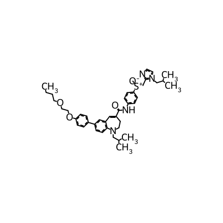 CCCCOCCOc1ccc(-c2ccc3c(c2)C=C(C(=O)Nc2ccc([S+]([O-])Cc4nccn4CC(C)C)cc2)CCN3CC(C)C)cc1